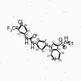 CCNS(=O)(=O)c1cn(-c2ccc(NC(=O)Nc3ccc(Cl)c(C(F)(F)F)c3)cc2)c2cnccc12